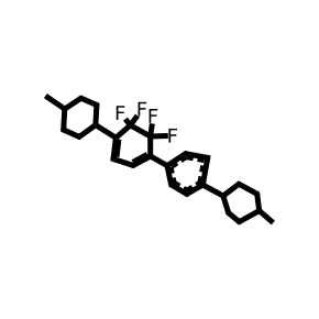 CC1CCC(C2=CC=C(c3ccc(C4CCC(C)CC4)cc3)C(F)(F)C2(F)F)CC1